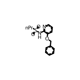 CCCS(=O)(=O)Nc1ncccc1OCc1ccccc1